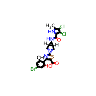 Cc1cc(Br)ccc1-c1nc(N2C[C@@H]3[C@H](C2)[C@@H]3NC(=O)c2[nH]c(C)c(Cl)c2Cl)sc1C(=O)O